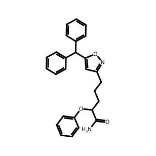 NC(=O)C(CCCc1cc(C(c2ccccc2)c2ccccc2)on1)Oc1ccccc1